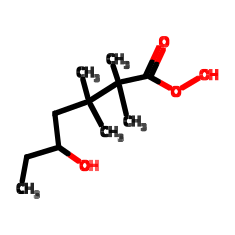 CCC(O)CC(C)(C)C(C)(C)C(=O)OO